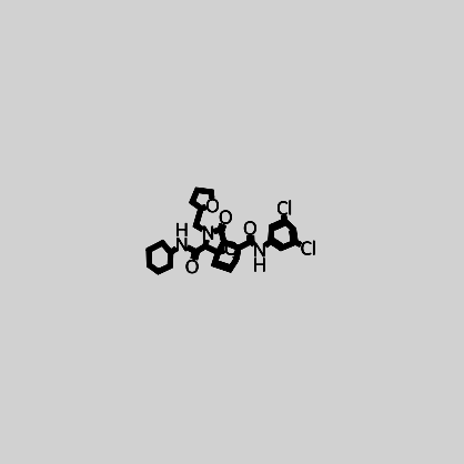 O=C(Nc1cc(Cl)cc(Cl)c1)C1C2C=CC3(O2)C1C(=O)N(CC1CCCO1)C3C(=O)NC1CCCCC1